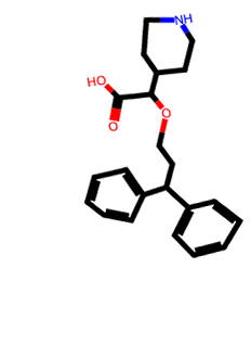 O=C(O)C(OCCC(c1ccccc1)c1ccccc1)C1CCNCC1